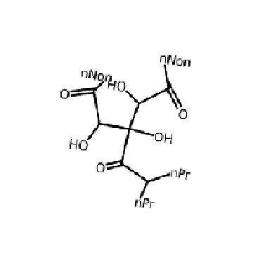 CCCCCCCCCC(=O)C(O)C(O)(C(=O)C(CCC)CCC)C(O)C(=O)CCCCCCCCC